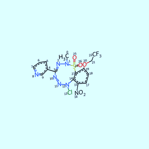 CN1/N=C(/c2cccnc2)N=NN(Cl)c2c([N+](=O)[O-])ccc(OCC(F)(F)F)c2S1(=O)=O